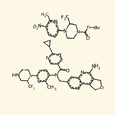 Cc1nc(N2CCN(C(=O)OC(C)(C)C)CC2C(F)(F)F)ccc1[N+](=O)[O-].Cc1nc(N2CCNCC2C(F)(F)F)ccc1N(Cc1ccc2c3c(c(N)nc2c1)COC3)C(=O)c1cnc(C2CC2)nc1